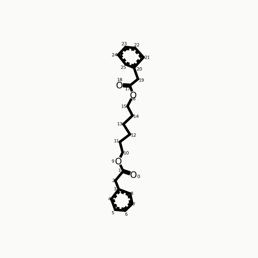 O=C(Cc1ccccc1)OCCCCCCOC(=O)Cc1ccccc1